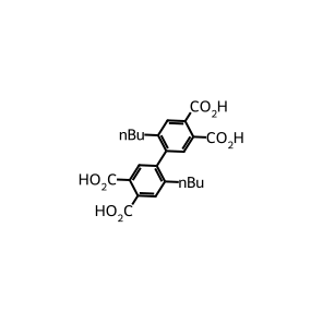 CCCCc1cc(C(=O)O)c(C(=O)O)cc1-c1cc(C(=O)O)c(C(=O)O)cc1CCCC